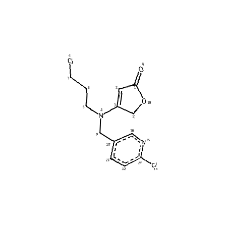 O=C1C=C(N(CCCCl)Cc2ccc(Cl)nc2)CO1